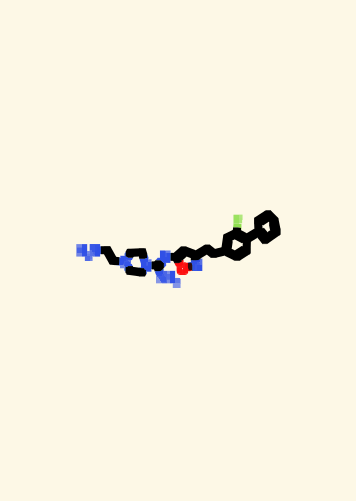 NCCN1CCN(C(N)=Nc2cc(CCc3ccc(-c4ccccc4)c(F)c3)no2)CC1